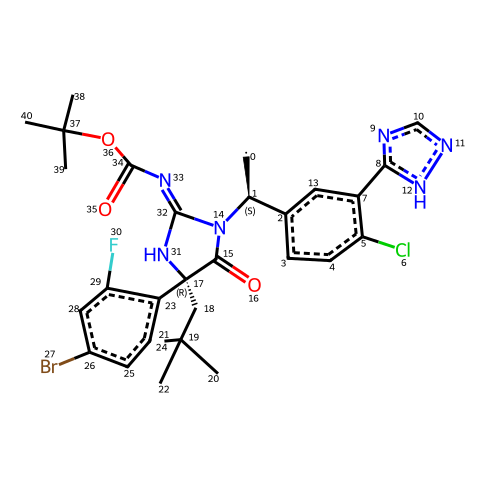 [CH2][C@@H](c1ccc(Cl)c(-c2ncn[nH]2)c1)N1C(=O)[C@@](CC(C)(C)C)(c2ccc(Br)cc2F)NC1=NC(=O)OC(C)(C)C